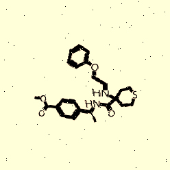 COC(=O)c1ccc([C@H](C)NC(=O)C2(NCCOc3ccccc3)CCSCC2)cc1